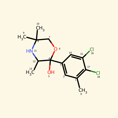 Cc1cc(C2(O)OCC(C)(C)NC2C)cc(Cl)c1Cl